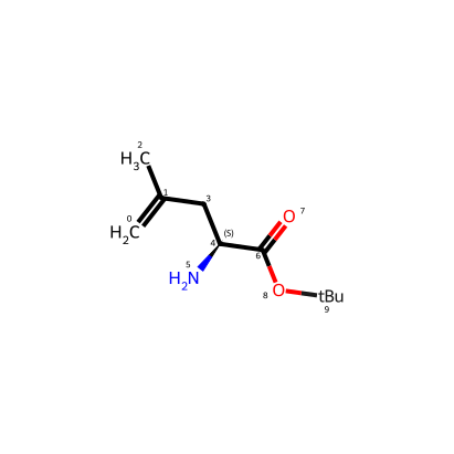 C=C(C)C[C@H](N)C(=O)OC(C)(C)C